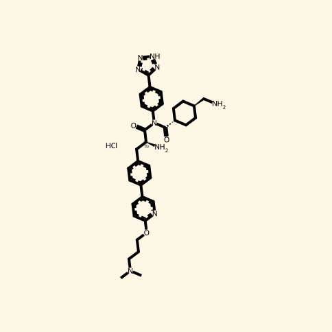 CN(C)CCCOc1ccc(-c2ccc(C[C@H](N)C(=O)N(c3ccc(-c4nn[nH]n4)cc3)C(=O)[C@H]3CC[C@H](CN)CC3)cc2)cn1.Cl